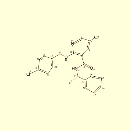 C[C@H](NC(=O)c1cc(Cl)cnc1OCc1ccc(Cl)cc1)c1ccccc1